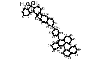 CC1(C)c2ccccc2-c2c1ccc1c2oc2cc3cc(-c4ccc(-c5c6ccccc6c(-c6cccc7ccccc67)c6ccccc56)cc4)ccc3cc21